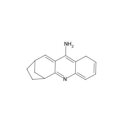 Nc1c2c(nc3c1=CC1CCC3C1)=CC=CC2